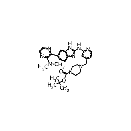 CN(C)c1nccnc1-c1ccc2nc(Nc3cc(CN4CCN(C(=O)OC(C)(C)C)CC4)ccn3)[nH]c2c1